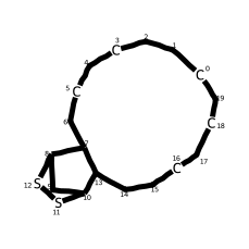 C1CCCCCCC2C3CC(SS3)C2CCCCCC1